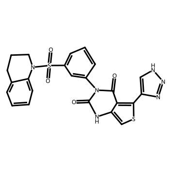 O=c1[nH]c2csc(-c3c[nH]nn3)c2c(=O)n1-c1cccc(S(=O)(=O)N2CCCc3ccccc32)c1